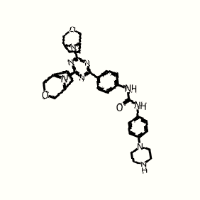 O=C(Nc1ccc(-c2nc(N3C4CCC3COC4)nc(N3C4CCC3COC4)n2)cc1)Nc1ccc(N2CCNCC2)cc1